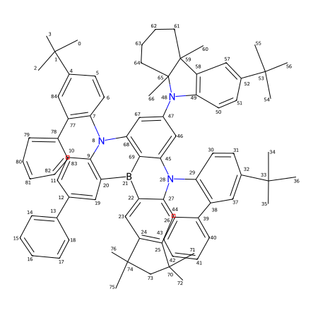 CC(C)(C)c1ccc(N2c3ccc(-c4ccccc4)cc3B3c4cc5c(cc4N(c4ccc(C(C)(C)C)cc4-c4ccccc4)c4cc(N6c7ccc(C(C)(C)C)cc7C7(C)CCCCC67C)cc2c43)C(C)(C)CC5(C)C)c(-c2ccccc2)c1